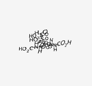 CC(=O)c1cc2c(OC(=O)NCCNCCC(=O)O)c3ccccc3c(OC(=O)NCCNCCC(=O)O)c2o1.O.O=S(=O)(O)Cc1ccccc1.O=S(=O)(O)Cc1ccccc1